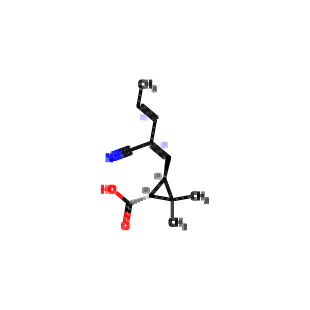 C/C=C/C(C#N)=C/[C@@H]1[C@@H](C(=O)O)C1(C)C